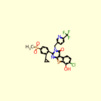 CS(=O)(=O)c1ccc(-c2nc3sc4c(O)c(Cl)ccc4c3c(=O)n2Cc2ccc(C(F)(F)F)nc2)c(C2CC2)c1